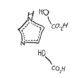 O=C(O)O.O=C(O)O.c1c[nH]cn1